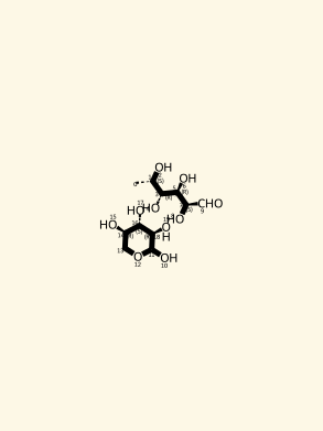 C[C@H](O)[C@@H](O)[C@@H](O)[C@H](O)C=O.OC1OC[C@@H](O)[C@H](O)[C@H]1O